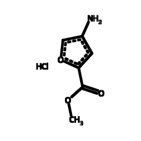 COC(=O)c1cc(N)co1.Cl